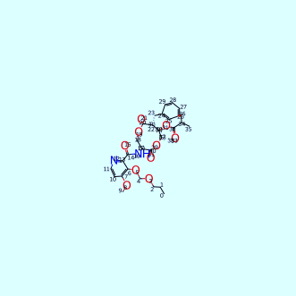 CCCOCOc1c(OC)ccnc1C(=O)N[C@H]1COC(=O)[C@H](Cc2ccccc2)[C@@H](OC(=O)C(C)C)[C@H](C)OC1=O